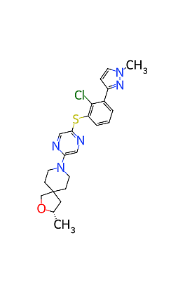 C[C@H]1CC2(CCN(c3cnc(Sc4cccc(-c5ccn(C)n5)c4Cl)cn3)CC2)CO1